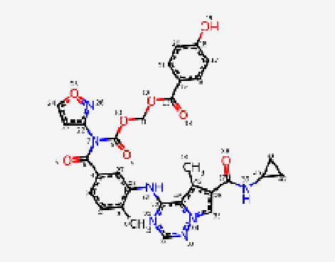 Cc1ccc(C(=O)N(C(=O)OCOC(=O)c2ccc(O)cc2)c2ccon2)cc1Nc1ncnn2cc(C(=O)NC3CC3)c(C)c12